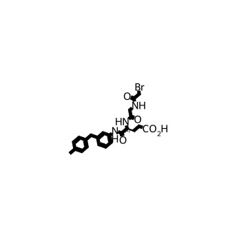 Cc1ccc(Cc2cccc(NC(=O)[C@H](CCC(=O)O)NC(=O)CNC(=O)CBr)c2)cc1